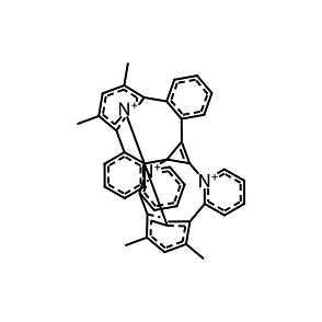 Cc1cc(C)c2c3c1-c1cccc[n+]1C1=C4c5ccccc5-c5c(C)cc(C)c([n+]5-3)-c3ccccc3C41[n+]1ccccc1-2